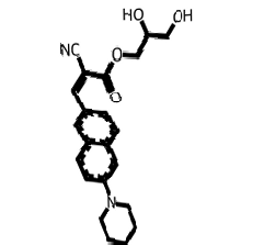 N#C/C(=C/c1ccc2cc(N3CCCCC3)ccc2c1)C(=O)OCC(O)CO